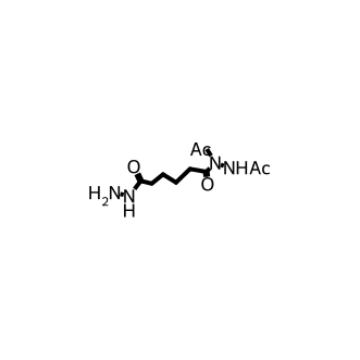 CC(=O)NN(C(C)=O)C(=O)CCCCC(=O)NN